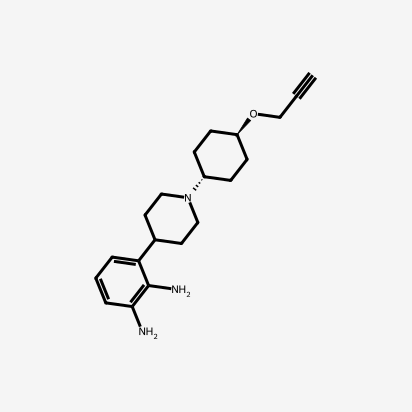 C#CCO[C@H]1CC[C@H](N2CCC(c3cccc(N)c3N)CC2)CC1